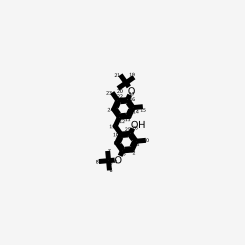 Cc1cc(OC(C)(C)C)cc(Cc2cc(C)c(OC(C)(C)C)c(C)c2)c1O